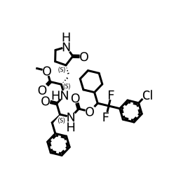 COC(=O)[C@H](C[C@@H]1CCNC1=O)NC(=O)[C@H](Cc1ccccc1)NC(=O)OC(C1CCCCC1)C(F)(F)c1cccc(Cl)c1